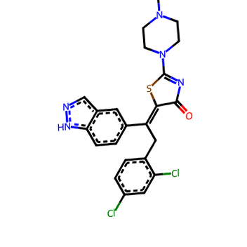 CN1CCN(C2=NC(=O)C(=C(Cc3ccc(Cl)cc3Cl)c3ccc4[nH]ncc4c3)S2)CC1